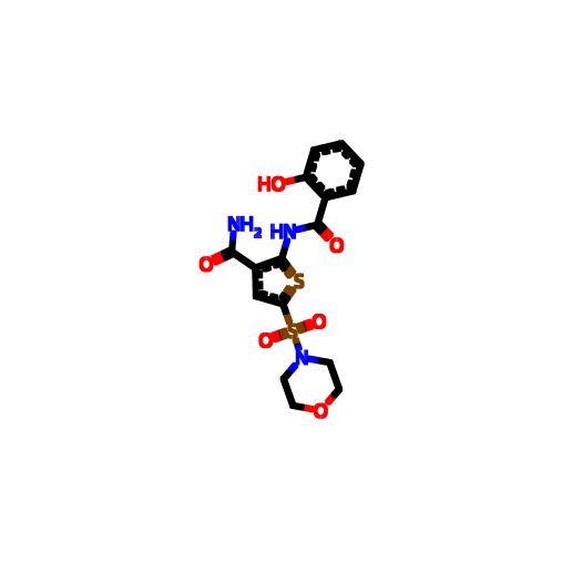 NC(=O)c1cc(S(=O)(=O)N2CCOCC2)sc1NC(=O)c1ccccc1O